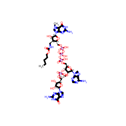 CCCCCOC(=O)NC[C@H]1[C@@H](O)[C@H](n2c[n+](C)c3c(=O)[nH]c(N)nc32)O[C@@H]1COP(=O)(O)OP(=O)(O)OP(=O)(O)OC[C@H]1O[C@@H](n2cnc3c(N)ncnc32)[C@H](OC)[C@@H]1OP(=O)(O)OC[C@H]1O[C@@H](n2cnc3c(=O)[nH]c(N)nc32)[C@H](O)[C@@H]1O